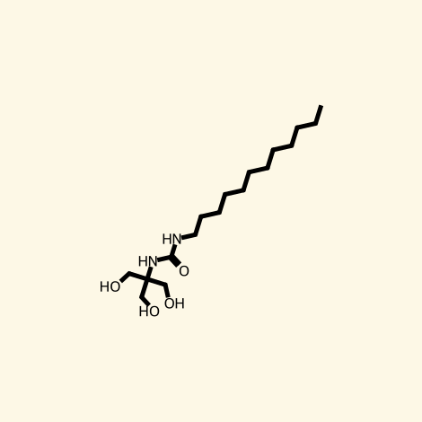 CCCCCCCCCCCCNC(=O)NC(CO)(CO)CO